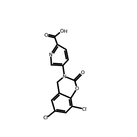 O=C(O)c1ccc(N2Cc3cc(Cl)cc(Cl)c3OC2=O)cn1